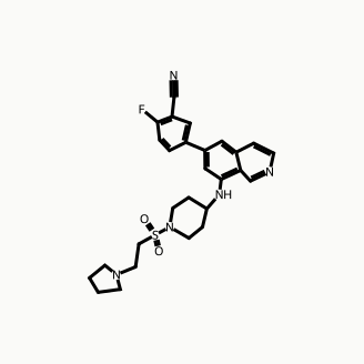 N#Cc1cc(-c2cc(NC3CCN(S(=O)(=O)CCN4CCCC4)CC3)c3cnccc3c2)ccc1F